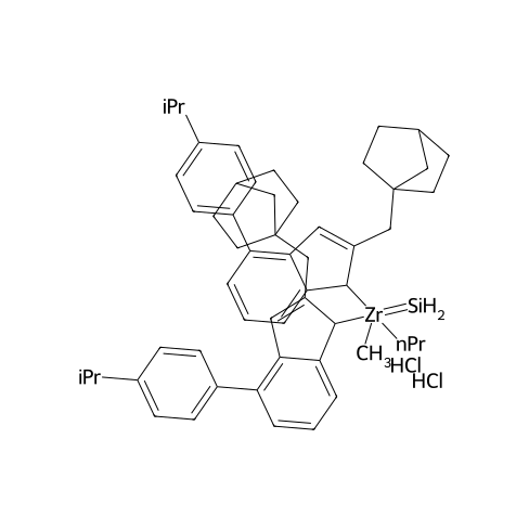 CC[CH2][Zr]([CH3])(=[SiH2])([CH]1C(CC23CCC(CC2)C3)=Cc2c(-c3ccc(C(C)C)cc3)cccc21)[CH]1C(CC23CCC(CC2)C3)=Cc2c(-c3ccc(C(C)C)cc3)cccc21.Cl.Cl